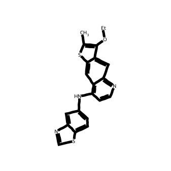 CCOc1c(C)sc2cc3c(Nc4ccc5scnc5c4)ccnc3cc12